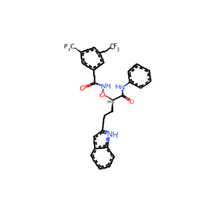 O=C(NO[C@H](CCc1cc2ccccc2[nH]1)C(=O)Nc1ccccc1)c1cc(C(F)(F)F)cc(C(F)(F)F)c1